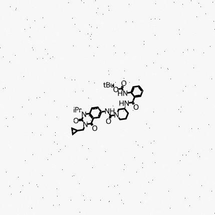 CC(C)n1c(=O)n(CC2CC2)c(=O)c2cc(NC(=O)N3CCC[C@@H](NC(=O)c4ccccc4NC(=O)OC(C)(C)C)C3)ccc21